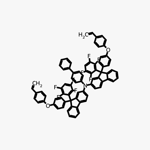 C=Cc1ccc(Oc2ccc(C3(c4c(F)c(F)cc(F)c4F)c4ccccc4-c4ccc(N(c5ccc(-c6ccccc6)cc5)c5ccc6c(c5)C(c5ccc(Oc7ccc(C=C)cc7)cc5)(c5c(F)c(F)cc(F)c5F)c5ccccc5-6)cc43)cc2)cc1